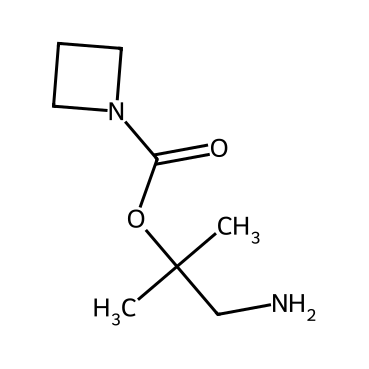 CC(C)(CN)OC(=O)N1CCC1